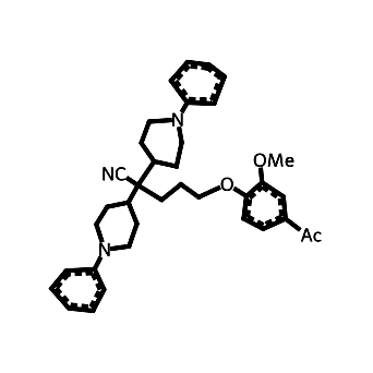 COc1cc(C(C)=O)ccc1OCCCC(C#N)(C1CCN(c2ccccc2)CC1)C1CCN(c2ccccc2)CC1